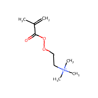 C=C(C)C(=O)OOCC[N+](C)(C)C